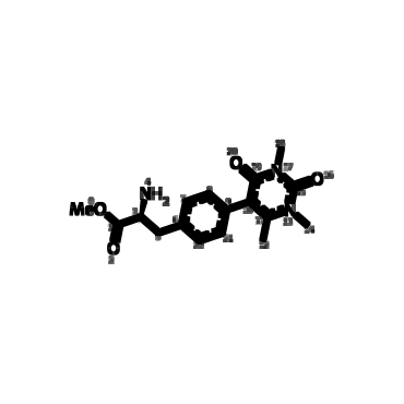 COC(=O)[C@@H](N)Cc1ccc(-c2c(C)n(C)c(=O)n(C)c2=O)cc1